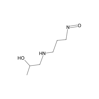 CC(O)CNCCCN=O